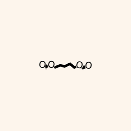 O=[C]OCCCCCOC=O